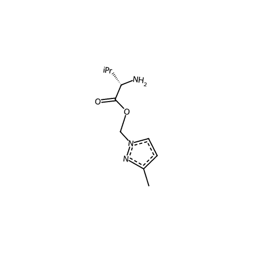 Cc1ccn(COC(=O)[C@@H](N)C(C)C)n1